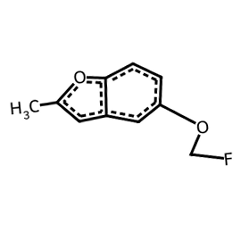 Cc1cc2cc(OCF)ccc2o1